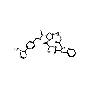 Cc1ncsc1-c1ccc(CNC(=O)[C@@H]2C[C@@H](O)CN2C(=O)C(NC(=O)C(Cc2ccccc2)NC(=O)OC(C)(C)C)C(C)(C)C)cc1